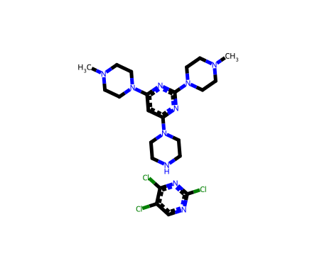 CN1CCN(c2cc(N3CCNCC3)nc(N3CCN(C)CC3)n2)CC1.Clc1ncc(Cl)c(Cl)n1